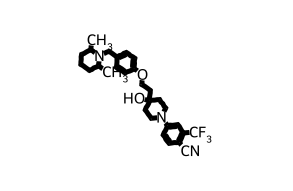 CC1CCCC(C)N1Cc1ccc(OCCC2(O)CCN(c3ccc(C#N)c(C(F)(F)F)c3)CC2)cc1